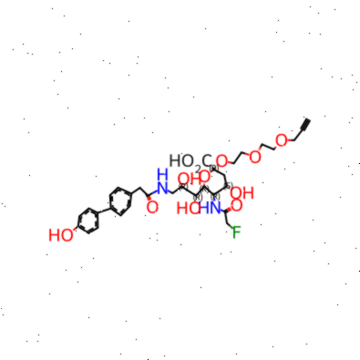 C#CCOCCOCCO[C@]1(C(=O)O)C[C@H](O)[C@@H](NC(=O)CF)[C@H]([C@H](O)[C@H](O)CNC(=O)Cc2ccc(-c3ccc(O)cc3)cc2)O1